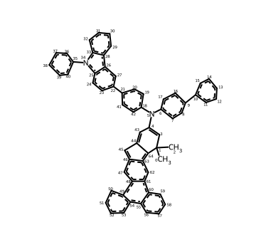 CC1(C)C=C(N(c2ccc(-c3ccccc3)cc2)c2ccc(-c3ccc4c(c3)c3ccccc3n4-c3ccccc3)cc2)C=C2C=c3cc4c5ccccc5c5ccccc5c4cc3=C21